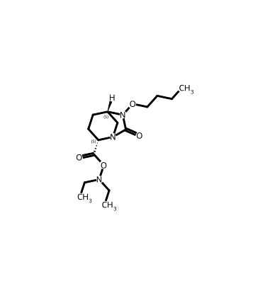 CCCCON1C(=O)N2C[C@@H]1CC[C@H]2C(=O)ON(CC)CC